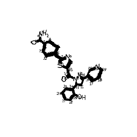 NC(=O)c1ccc(-c2ncc(C(=O)N3N=C(c4cccnc4)CC3c3ccccc3O)s2)cc1